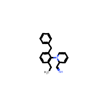 CCc1cccc(Cc2ccccc2)c1N1C=CC=CC1C=N